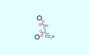 C[C@@H](C(=O)O)N(CCNC(=O)Oc1ccccc1)C(=O)Oc1ccccc1